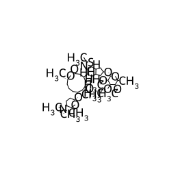 CCOC1C(OC)[C@H](O[C@H]2C[C@H]3[C@@H]4C=C5C(=O)[C@H](C)[C@@H](O[C@H]6CC[C@H](N(C)C)C(C)O6)CCC[C@H](CC)OC(=O)C[C@H]5[C@@H]4c4nc(C)sc4[C@@H]3C2)OC(C)[C@@H]1OC